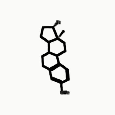 CC[C@H]1CCC2C3CCc4cc(OC)ccc4C3CC[C@@]21C